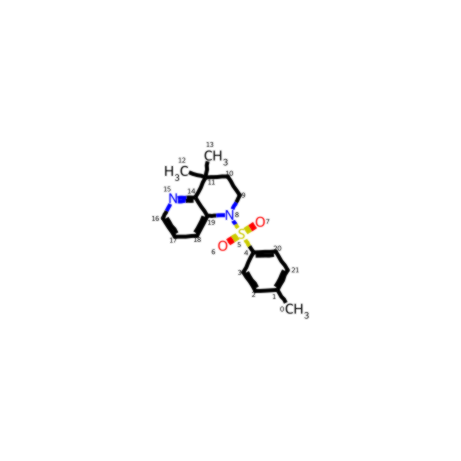 Cc1ccc(S(=O)(=O)N2CCC(C)(C)c3ncccc32)cc1